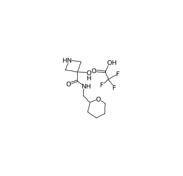 O=C(NCC1CCCCO1)C1(O)CNC1.O=C(O)C(F)(F)F